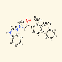 CCC(C)N(CC(O)c1ccc(-c2ccccc2)c(OC)c1OC)n1cnc2ccccc21